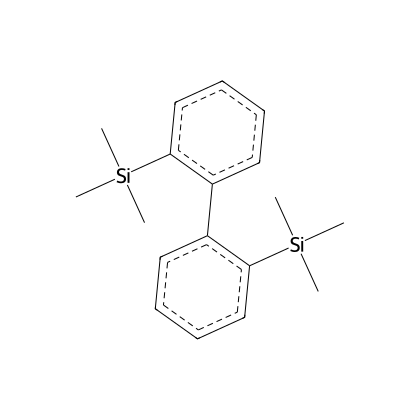 C[Si](C)(C)c1ccccc1-c1ccccc1[Si](C)(C)C